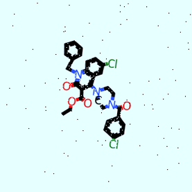 CCOC(=O)c1c(N2CCN(C(=O)c3ccc(Cl)cc3)CC2)c2cc(Cl)ccc2n(Cc2ccccc2)c1=O